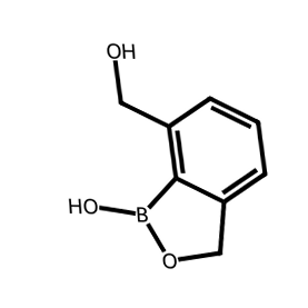 OCc1cccc2c1B(O)OC2